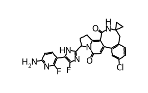 Nc1ccc(-c2[nH]c(C3CCc4c5c(cc(=O)n43)-c3cc(Cl)ccc3CC3(CC3)NC5=O)nc2F)c(F)n1